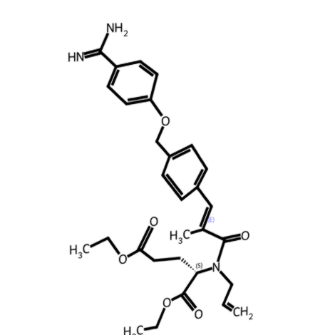 C=CCN(C(=O)/C(C)=C/c1ccc(COc2ccc(C(=N)N)cc2)cc1)[C@@H](CCC(=O)OCC)C(=O)OCC